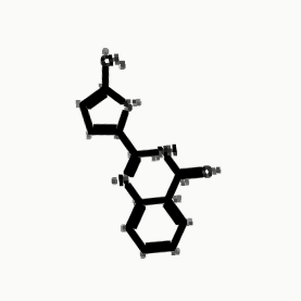 Cc1ccc(-c2nc3ccccc3c(=O)[nH]2)s1